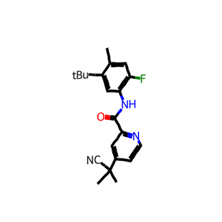 Cc1cc(F)c(NC(=O)c2cc(C(C)(C)C#N)ccn2)cc1C(C)(C)C